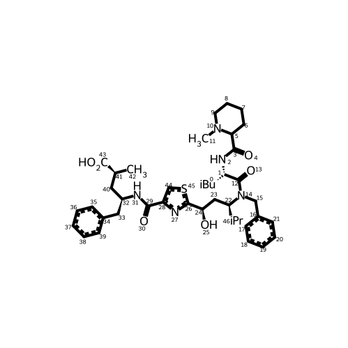 CC[C@@H](C)[C@H](NC(=O)C1CCCCN1C)C(=O)N(Cc1ccccc1)[C@H](C[C@@H](O)c1nc(C(=O)N[C@@H](Cc2ccccc2)C[C@H](C)C(=O)O)cs1)C(C)C